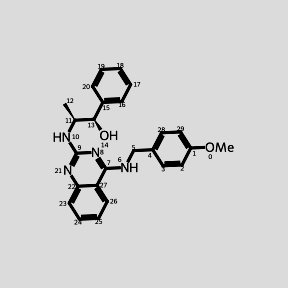 COc1ccc(CNc2nc(N[C@@H](C)[C@H](O)c3ccccc3)nc3ccccc23)cc1